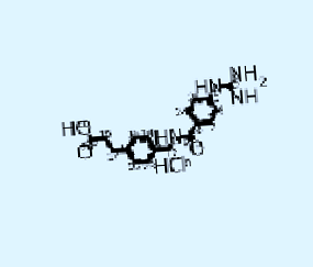 Cl.N=C(N)Nc1ccc(C(=O)NCc2ccc(CCC(=O)O)cc2)cc1